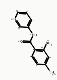 Cc1ccc(C(=O)Nc2cccnc2)c(N)c1